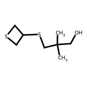 CC(C)(CO)CSC1CSC1